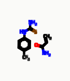 C=CC(N)=O.NC(=S)Nc1ccc(C(F)(F)F)cc1